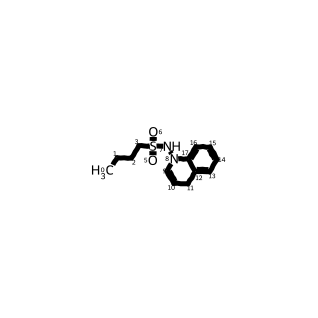 CCCCS(=O)(=O)NN1C=CCc2ccccc21